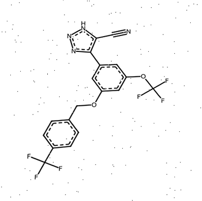 N#Cc1[nH]nnc1-c1cc(OCc2ccc(C(F)(F)F)cc2)cc(OC(F)(F)F)c1